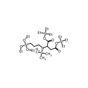 CCO[Si](CCCN(C(CC(=O)O[Si](CC)(CC)CC)C(=O)O[Si](CC)(CC)CC)[Si](C)(C)C)(OCC)OCC